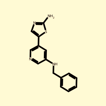 Nc1ncc(-c2cncc(NCc3ccccc3)c2)s1